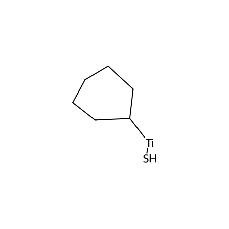 [SH][Ti][CH]1CCCCC1